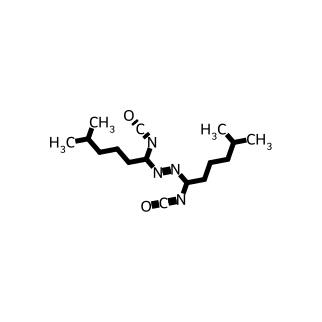 CC(C)CCCC(N=C=O)N=NC(CCCC(C)C)N=C=O